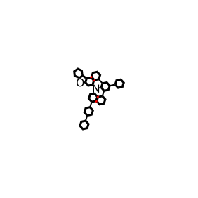 c1ccc(-c2ccc(-c3ccc(N(c4ccc5c(c4)oc4ccccc45)c4c(-c5ccccc5)cc(-c5ccccc5)cc4-c4ccccc4)cc3)cc2)cc1